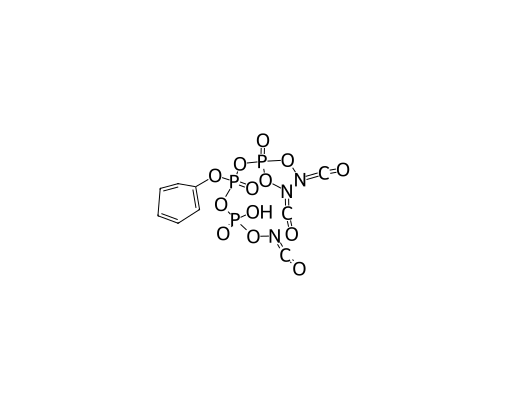 O=C=NOP(=O)(O)OP(=O)(Oc1ccccc1)OP(=O)(ON=C=O)ON=C=O